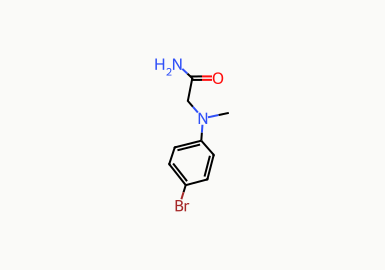 CN(CC(N)=O)c1ccc(Br)cc1